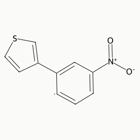 O=[N+]([O-])c1cc[c]c(-c2ccsc2)c1